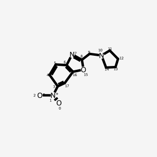 O=[N+]([O-])c1ccc2nc(CN3CCCC3)oc2c1